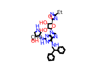 CCc1noc([C@H]2O[C@@H](n3cnc4c(NCC(c5ccccc5)c5ccccc5)nc(NC5CCNC5)nc43)[C@H](O)[C@@H]2O)n1.O=CO